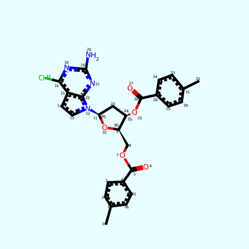 Cc1ccc(C(=O)OC[C@H]2O[C@@H](n3ccc4c(Cl)nc(N)nc43)C[C@@H]2OC(=O)c2ccc(C)cc2)cc1